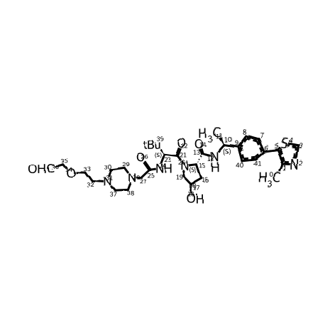 Cc1ncsc1-c1ccc([C@H](C)NC(=O)[C@@H]2C[C@@H](O)CN2C(=O)[C@@H](NC(=O)CN2CCN(CCOCC=O)CC2)C(C)(C)C)cc1